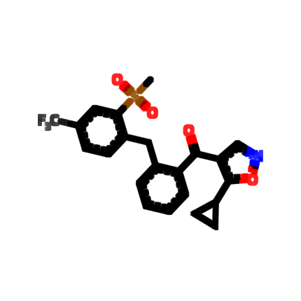 CS(=O)(=O)c1cc(C(F)(F)F)ccc1Cc1ccccc1C(=O)c1cnoc1C1CC1